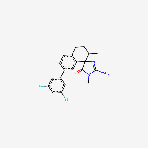 CC1CCc2ccc(-c3cc(F)cc(Cl)c3)cc2C12N=C(N)N(C)C2=O